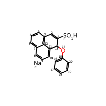 O=S(=O)(O)C1=Cc2cccc3cccc(c23)C1Oc1ccccc1.[Na]